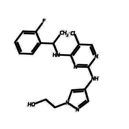 [CH2][C](Nc1nc(Nc2cnn(CCO)c2)ncc1Cl)c1ccccc1F